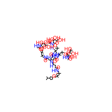 CC(=O)NC1C(OCC(C)(C)CC(C)(C)CNC(=O)CCC(CCC(=O)NCC(C)(C)CC(C)(C)COC2OC(CO)C(O)C(O)C2NC(C)=O)(CCC(=O)NCC(C)(C)CC(C)(C)COC(OC(CO)[C@@H](C)O)[C@H](CO)NC(C)=O)NC(=O)CCCC(=O)NCC(C)(C)CC(C)(C)COC2CCC(C(C)C)C2)OC(CO)C(O)C1O